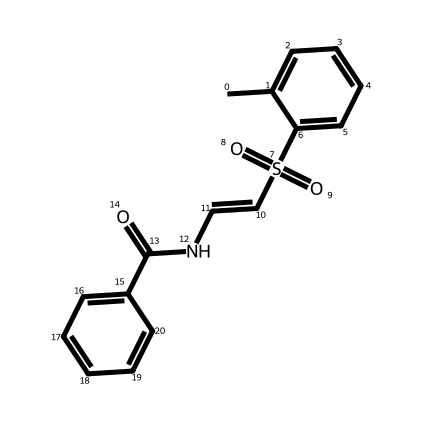 Cc1ccccc1S(=O)(=O)C=CNC(=O)c1ccccc1